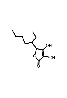 CCCCC(CC)C1OC(=O)C(O)=C1O